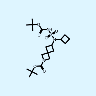 CC(C)(C)OC(=O)NS(=O)(=O)N(C1CCC1)C1CC2(C1)CN(C(=O)OC(C)(C)C)C2